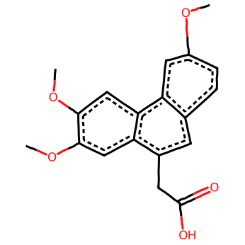 COc1ccc2cc(CC(=O)O)c3cc(OC)c(OC)cc3c2c1